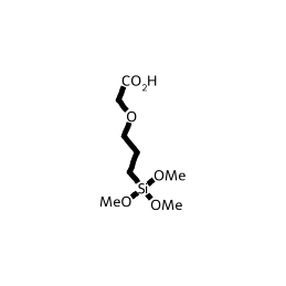 CO[Si](CCCOCC(=O)O)(OC)OC